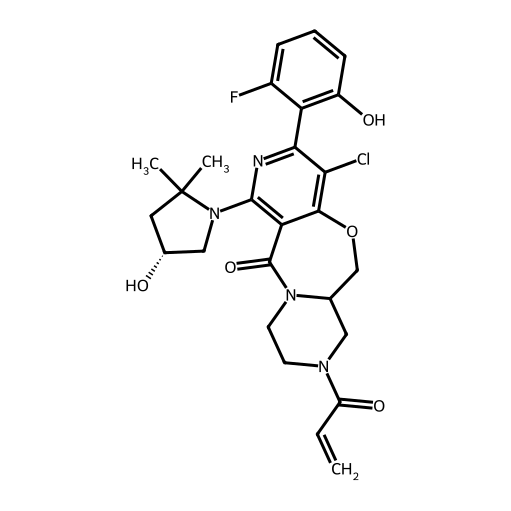 C=CC(=O)N1CCN2C(=O)c3c(N4C[C@H](O)CC4(C)C)nc(-c4c(O)cccc4F)c(Cl)c3OCC2C1